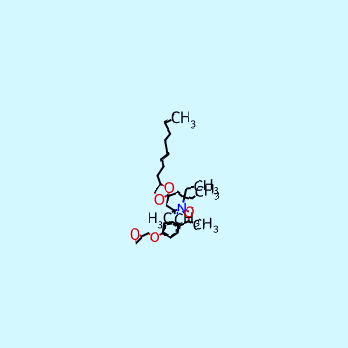 CCCCCCCCC1COC2(CC(C)(C)N(OC(C)c3ccc(OCC4CO4)cc3)C(CC)(CC)C2)O1